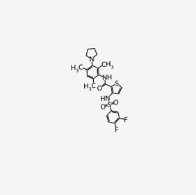 Cc1cc(C)c(N2CCCC2)c(C)c1NC(=O)c1sccc1NS(=O)(=O)c1ccc(F)c(F)c1